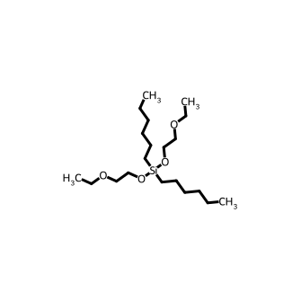 CCCCCC[Si](CCCCCC)(OCCOCC)OCCOCC